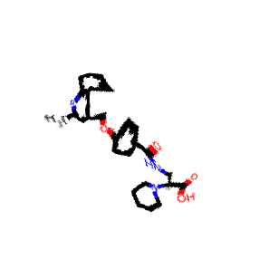 Cc1cc(COc2ccc(C(=O)NC[C@@H](C(=O)O)N3CCCCC3)cc2)c2ccccc2n1